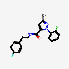 O=C(NCCC1=CCC(F)C=C1)c1cc(C(F)(F)F)nn1-c1ccccc1Cl